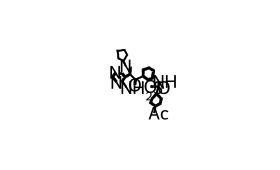 CC(=O)c1ccc(S(=O)(=O)Nc2cccc(C(=O)c3cn(C4CCCC4)c4ncnc(N)c34)c2)cc1